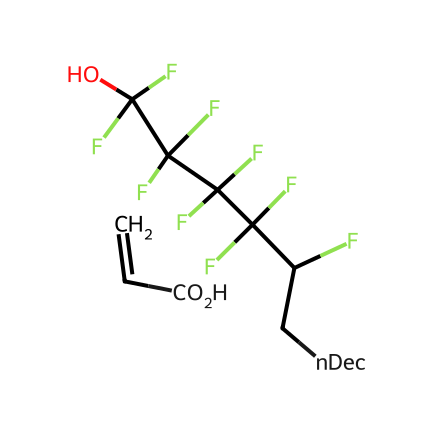 C=CC(=O)O.CCCCCCCCCCCC(F)C(F)(F)C(F)(F)C(F)(F)C(O)(F)F